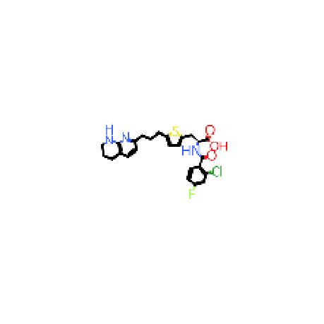 O=C(N[C@@H](Cc1ccc(CCCc2ccc3c(n2)NCCC3)s1)C(=O)O)c1ccc(F)cc1Cl